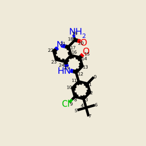 Cc1cc(C(C)(C)C)c(Cl)cc1-c1cc(=O)c2c(C(N)=O)nccc2[nH]1